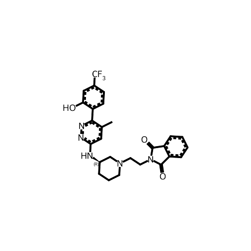 Cc1cc(N[C@@H]2CCCN(CCN3C(=O)c4ccccc4C3=O)C2)nnc1-c1ccc(C(F)(F)F)cc1O